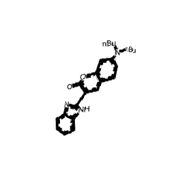 CCCCN(CCCC)c1ccc2cc(-c3nc4ccccc4[nH]3)c(=O)oc2c1